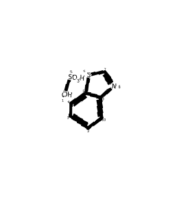 O=S(=O)(O)O.c1ccc2scnc2c1